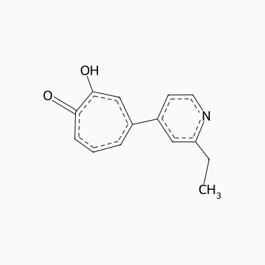 CCc1cc(-c2cccc(=O)c(O)c2)ccn1